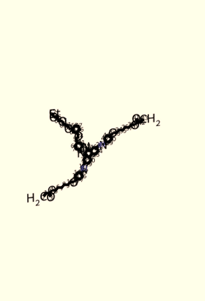 C=CC(=O)OCCCCCCOc1ccc(/N=C/c2ccc3c4ccc(/C=N/c5ccc(OCCCCCCOC(=O)C=C)cc5)cc4c4nc5cc(COc6cccc(OCCOCCOCC)c6)ccc5nc4c3c2)cc1